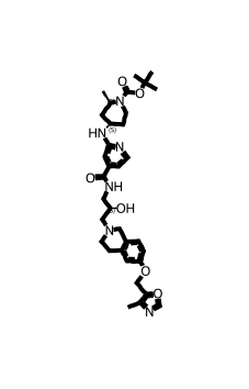 Cc1ncoc1COc1ccc2c(c1)CCN(C[C@@H](O)CNC(=O)c1ccnc(N[C@H]3CCN(C(=O)OC(C)(C)C)[C@H](C)C3)c1)C2